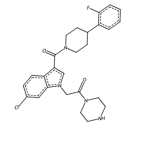 O=C(Cn1cc(C(=O)N2CCC(c3ccccc3F)CC2)c2ccc(Cl)cc21)N1CCNCC1